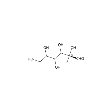 O=C[C@@](O)(F)C(O)C(O)C(O)CO